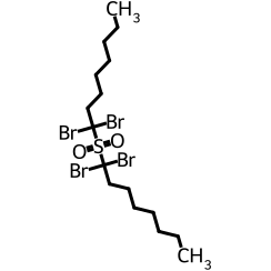 CCCCCCCC(Br)(Br)S(=O)(=O)C(Br)(Br)CCCCCCC